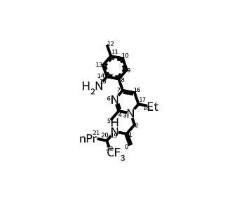 C=C(CN1C(C)=NC(c2ccc(C)cc2N)=CC1CC)NC(CCC)C(F)(F)F